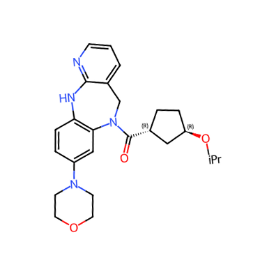 CC(C)O[C@@H]1CC[C@@H](C(=O)N2Cc3cccnc3Nc3ccc(N4CCOCC4)cc32)C1